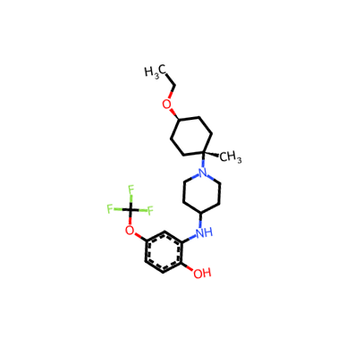 CCO[C@H]1CC[C@](C)(N2CCC(Nc3cc(OC(F)(F)F)ccc3O)CC2)CC1